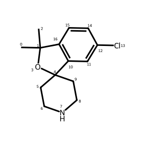 CC1(C)OC2(CCNCC2)c2cc(Cl)ccc21